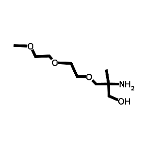 COCCOCCOCC(C)(N)CO